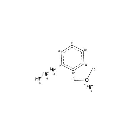 COC.F.F.F.F.c1ccccc1